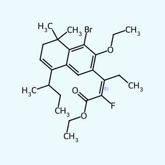 CCOC(=O)/C(F)=C(/CC)c1cc2c(c(Br)c1OCC)C(C)(C)CC=C2C(C)CC